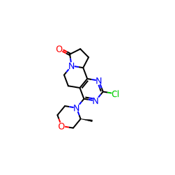 C[C@H]1COCCN1c1nc(Cl)nc2c1CCN1C(=O)CCC21